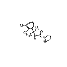 CC(C)(NC(=O)C[C@@H]1CCCN1)c1cccc(Cl)c1Cl